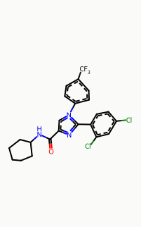 O=C(NC1CCCCC1)c1cn(-c2ccc(C(F)(F)F)cc2)c(-c2ccc(Cl)cc2Cl)n1